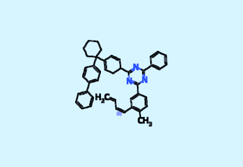 C=C/C=C\c1cc(-c2nc(-c3ccccc3)nc(C3C=CC(C4(c5ccc(-c6ccccc6)cc5)CCCCC4)=CC3)n2)ccc1C